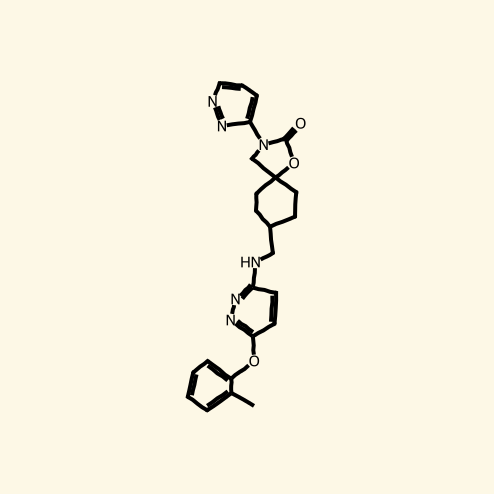 Cc1ccccc1Oc1ccc(NCC2CCC3(CC2)CN(c2cccnn2)C(=O)O3)nn1